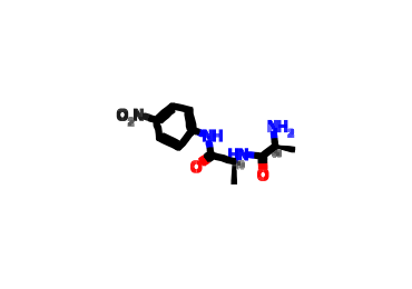 C[C@H](N)C(=O)N[C@@H](C)C(=O)Nc1ccc([N+](=O)[O-])cc1